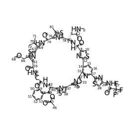 CNC(=O)C[C@@H]1NC(=O)c2csc(n2)-c2ccc(-c3nc(NC(=O)C(F)(F)F)cs3)nc2-c2csc(n2)-c2csc(n2)[C@H]([C@@H](OC(C)=O)c2ccccc2)NC(=O)CNC(=O)c2nc(sc2COC)[C@@H](C(C)C)NC(=O)c2nc1sc2C